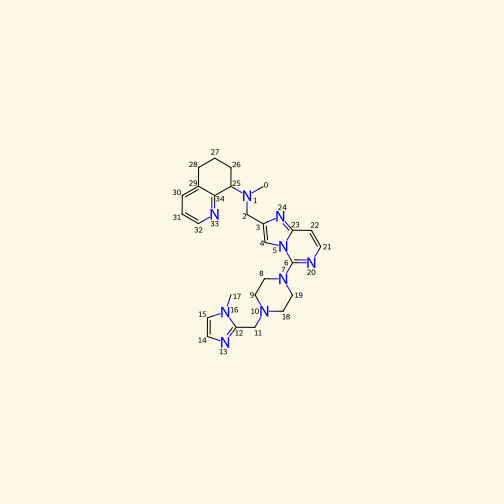 CN(Cc1cn2c(N3CCN(Cc4nccn4C)CC3)nccc2n1)C1CCCc2cccnc21